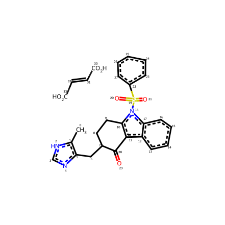 Cc1[nH]cnc1CC1CCc2c(c3ccccc3n2S(=O)(=O)c2ccccc2)C1=O.O=C(O)C=CC(=O)O